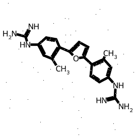 Cc1cc(NC(=N)N)ccc1-c1ccc(-c2ccc(NC(=N)N)cc2C)o1